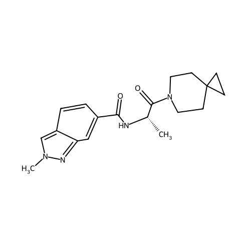 C[C@H](NC(=O)c1ccc2cn(C)nc2c1)C(=O)N1CCC2(CC1)CC2